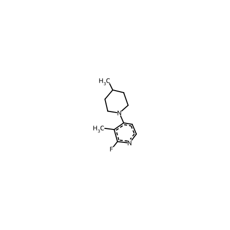 Cc1c(N2CCC(C)CC2)ccnc1F